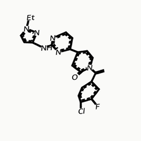 C=C(c1ccc(Cl)c(F)c1)n1ccc(-c2ccnc(Nc3ccn(CC)n3)n2)cc1=O